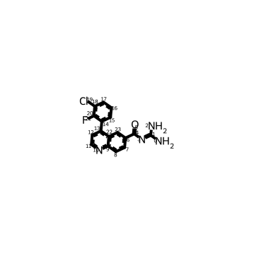 NC(N)=NC(=O)c1ccc2nccc(-c3cccc(Cl)c3F)c2c1